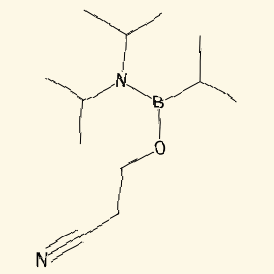 CC(C)B(OCCC#N)N(C(C)C)C(C)C